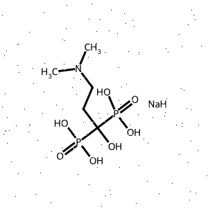 CN(C)CCC(O)(P(=O)(O)O)P(=O)(O)O.[NaH]